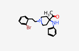 CC(=O)C1(Nc2ccccc2)CCN(CCc2ccccc2Br)CC1